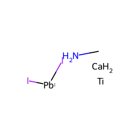 CN.[CaH2].[I][Pb][I].[Ti]